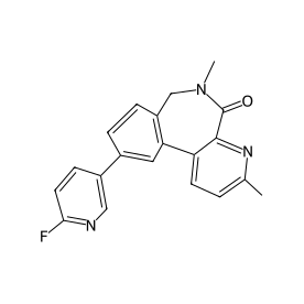 Cc1ccc2c(n1)C(=O)N(C)Cc1ccc(-c3ccc(F)nc3)cc1-2